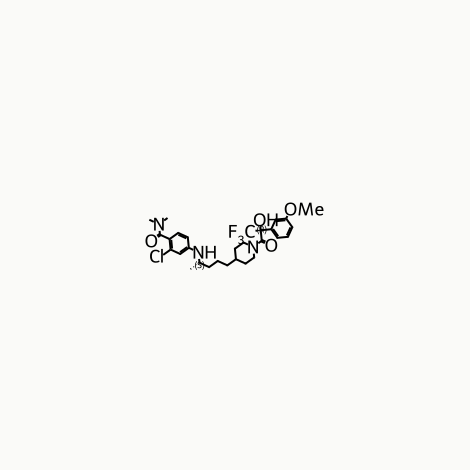 COc1cccc([C@@](O)(C(=O)N2CCC(CCC[C@H](C)Nc3ccc(C(=O)N(C)C)c(Cl)c3)CC2)C(F)(F)F)c1